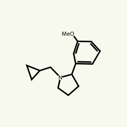 COc1cccc(C2CCCN2CC2CC2)c1